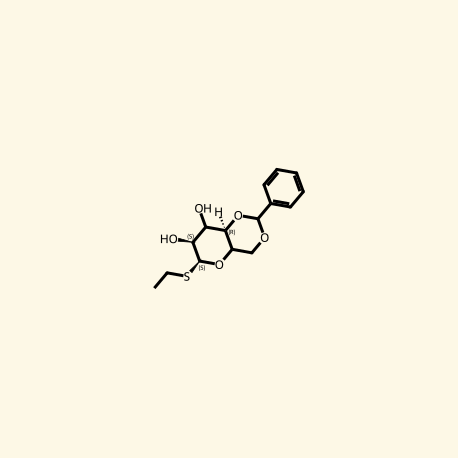 CCS[C@@H]1OC2COC(c3ccccc3)O[C@@H]2C(O)[C@@H]1O